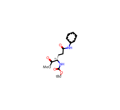 COC(=O)[C@H](CCC(=O)Nc1ccccc1)NC(=O)OC(C)(C)C